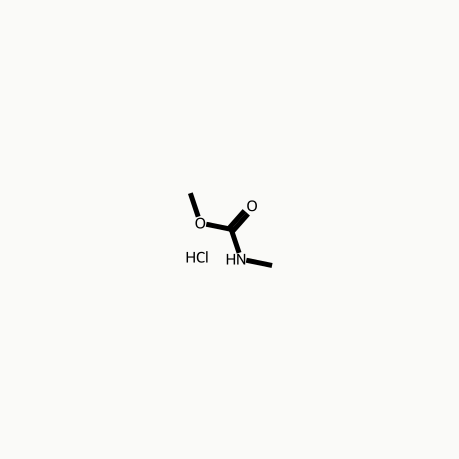 CNC(=O)OC.Cl